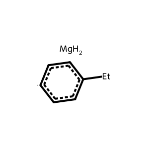 CCc1cc[c]cc1.[MgH2]